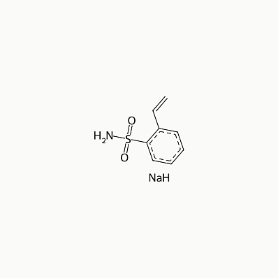 C=Cc1ccccc1S(N)(=O)=O.[NaH]